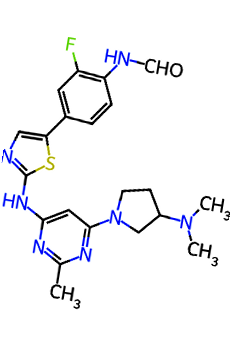 Cc1nc(Nc2ncc(-c3ccc(NC=O)c(F)c3)s2)cc(N2CCC(N(C)C)C2)n1